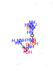 C[C@H](CCCNC(=N)N)NC[C@H](CC(=O)O)NC(=O)CC[C@H](NC(=O)c1ccc(NCc2cnc3nc(N)[nH]c(=O)c3n2)cc1)C(=O)O